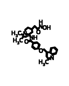 CCC[C@@]1(NC(=O)c2ccc(OCc3cc(C)nc4ccccc34)cc2)CC(CC(=O)NO)CCN1CC